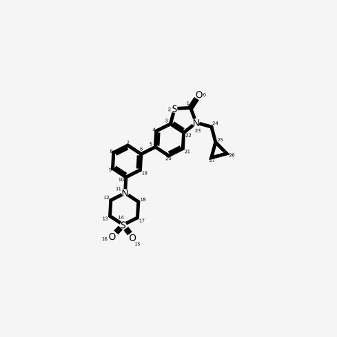 O=c1sc2cc(-c3cccc(N4CCS(=O)(=O)CC4)c3)ccc2n1CC1CC1